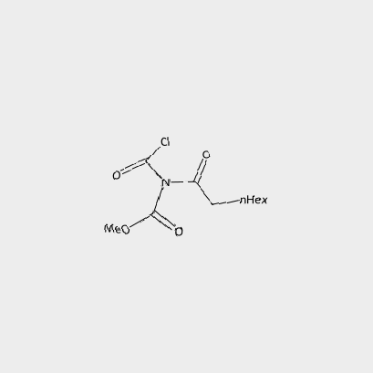 CCCCCCCC(=O)N(C(=O)Cl)C(=O)OC